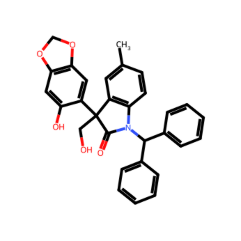 Cc1ccc2c(c1)C(CO)(c1cc3c(cc1O)OCO3)C(=O)N2C(c1ccccc1)c1ccccc1